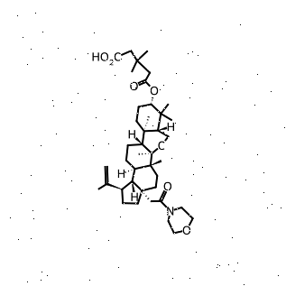 C=C(C)[C@@H]1CC[C@]2(CC(=O)N3CCOCC3)CC[C@]3(C)[C@H](CC[C@@H]4[C@@]5(C)CC[C@H](OC(=O)CC(C)(C)CC(=O)O)C(C)(C)[C@@H]5CC[C@]43C)[C@@H]12